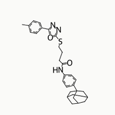 Cc1ccc(-c2nnc(SCCCC(=O)Nc3ccc(C45CC6CC(CC(C6)C4)C5)cc3)o2)cc1